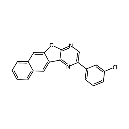 Clc1cccc(-c2cnc3oc4cc5ccccc5cc4c3n2)c1